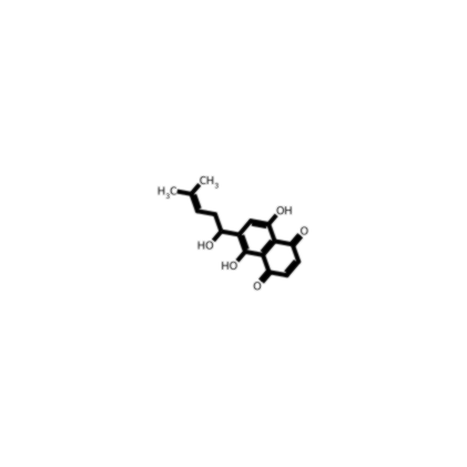 CC(C)=CCC(O)c1cc(O)c2c(c1O)C(=O)C=CC2=O